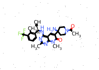 C#C[C@@H](Nc1nc(C)nc2c1cc(C1(N)CCN(C(C)=O)CC1)c(=O)n2C)c1cccc(C(F)(F)F)c1C